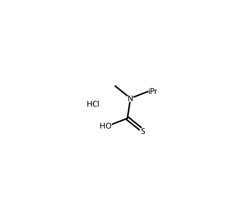 CC(C)N(C)C(O)=S.Cl